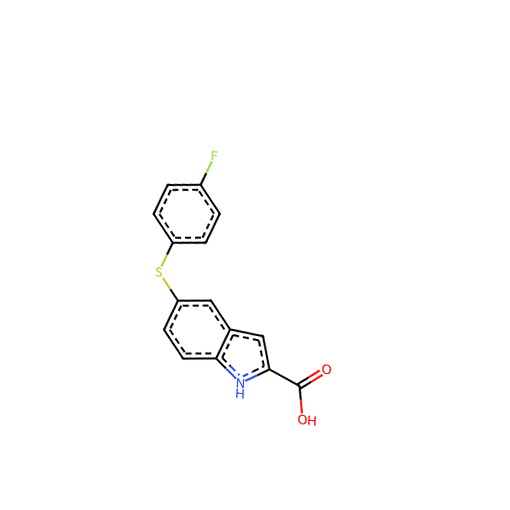 O=C(O)c1cc2cc(Sc3ccc(F)cc3)ccc2[nH]1